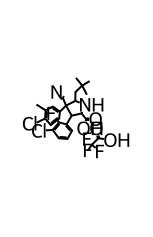 Cc1cc(C2(C#N)C(CC(C)(C)C)NC(C(=O)O)C2c2cccc(Cl)c2F)ccc1Cl.O=C(O)C(F)(F)F